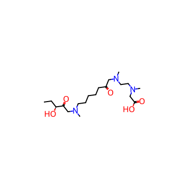 CC[C@H](O)C(=O)CN(C)CCCCCC(=O)CN(C)CCN(C)CC(=O)O